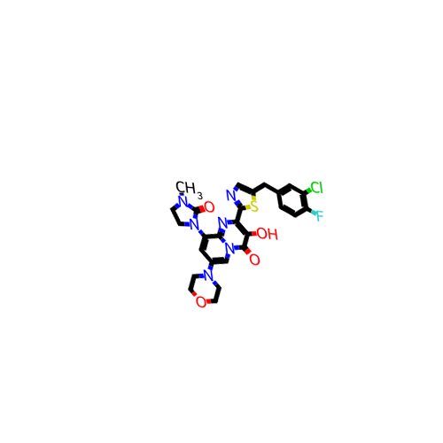 CN1CCN(c2cc(N3CCOCC3)cn3c(=O)c(O)c(-c4ncc(Cc5ccc(F)c(Cl)c5)s4)nc23)C1=O